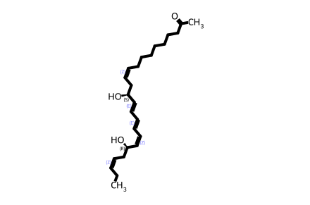 CC/C=C\C[C@@H](O)\C=C/C=C/C=C/[C@@H](O)C/C=C\CCCCCCCC(C)=O